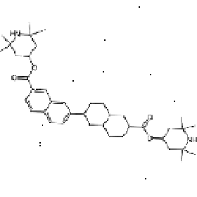 CC1(C)CC(OC(=O)c2ccc3ccc(C4CCC5CC(C(=O)OC6CC(C)(C)NC(C)(C)C6)CCC5C4)cc3c2)CC(C)(C)N1